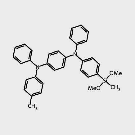 CO[Si](C)(OC)c1ccc(N(c2ccccc2)c2ccc(N(c3ccccc3)c3ccc(C)cc3)cc2)cc1